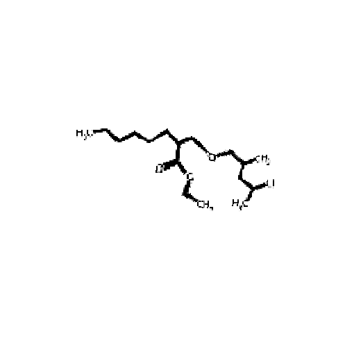 CCCCCCC(COCC(C)CC(C)Cl)C(=O)OCC